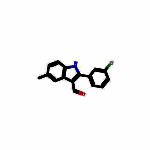 Cc1ccc2[nH]c(-c3cccc(Cl)c3)c(C=O)c2c1